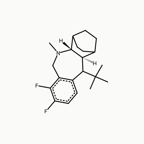 CN1Cc2c(ccc(F)c2F)C(C(C)(C)C)[C@@H]2C3CCC(CC3)[C@H]21